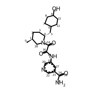 C[C@H]1CC[C@H](CC2CCC(O)CC2)N(C(=O)C(=O)Nc2cncc(C(N)=O)c2)C1